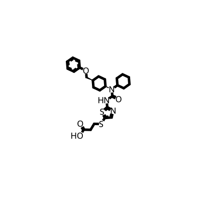 O=C(O)CCSc1cnc(NC(=O)N(C2CCCCC2)[C@H]2CC[C@H](COc3ccccc3)CC2)s1